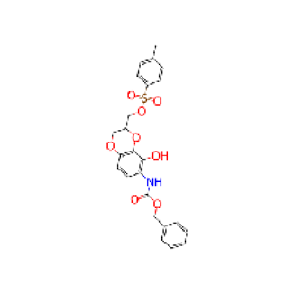 Cc1ccc(S(=O)(=O)OCC2COc3ccc(NC(=O)OCc4ccccc4)c(O)c3O2)cc1